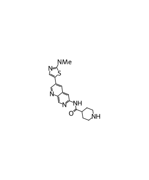 CNc1ncc(-c2cnc3cnc(NC(=O)C4CCNCC4)cc3c2)s1